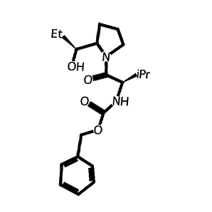 CC[C@H](O)C1CCCN1C(=O)[C@H](NC(=O)OCc1ccccc1)C(C)C